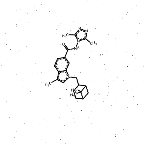 Cc1cn(CC2CCC3CC2C3(C)C)c2cc(C(=O)Nn3c(C)nnc3C)ccc12